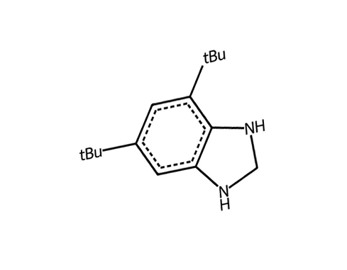 CC(C)(C)c1cc2c(c(C(C)(C)C)c1)NCN2